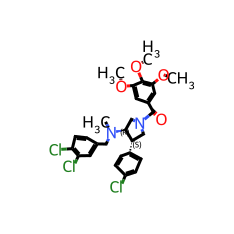 COc1cc(C(=O)N2C[C@H](c3ccc(Cl)cc3)[C@@H](N(C)Cc3ccc(Cl)c(Cl)c3)C2)cc(OC)c1OC